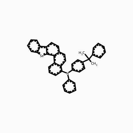 CC(C)(c1ccccc1)c1ccc(N(c2ccccc2)c2cccc3c2ccc2ccc4c5ccccc5[se]c4c23)cc1